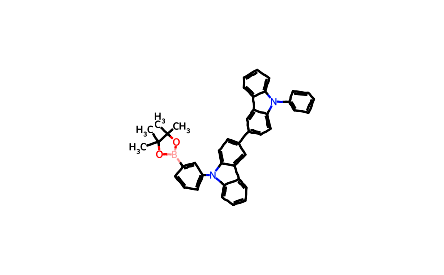 CC1(C)OB(c2cccc(-n3c4ccccc4c4cc(-c5ccc6c(c5)c5ccccc5n6-c5ccccc5)ccc43)c2)OC1(C)C